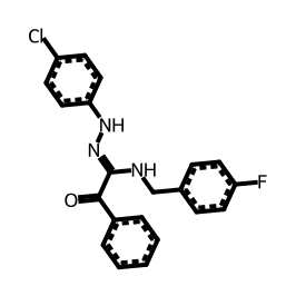 O=C(C(=NNc1ccc(Cl)cc1)NCc1ccc(F)cc1)c1ccccc1